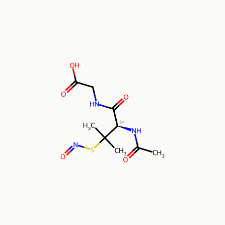 CC(=O)N[C@H](C(=O)NCC(=O)O)C(C)(C)SN=O